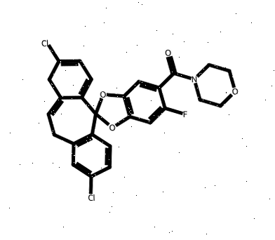 O=C(c1cc2c(cc1F)OC1(O2)C2=CC=C(Cl)CC2=CCc2cc(Cl)ccc21)N1CCOCC1